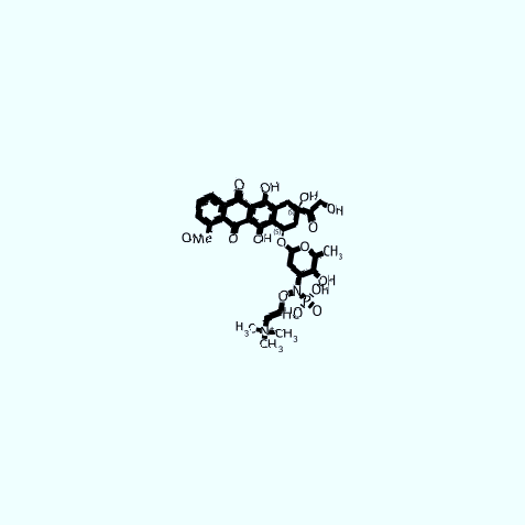 COc1cccc2c1C(=O)c1c(O)c3c(c(O)c1C2=O)C[C@@](O)(C(=O)CO)C[C@@H]3OC1CC(N(OCC[N+](C)(C)C)P(=O)(O)O)C(O)C(C)O1